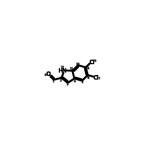 O=Cc1cc2cc(Cl)c(Cl)cc2[nH]1